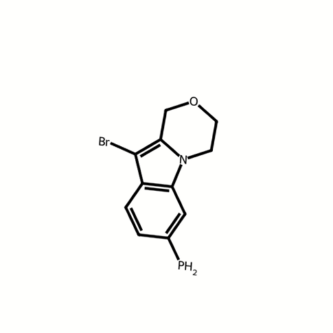 Pc1ccc2c(Br)c3n(c2c1)CCOC3